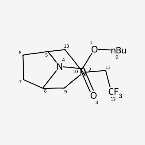 CCCCOC(=O)N1C2CCC1CN(CC(F)(F)F)C2